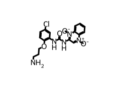 NCCCOc1ccc(Cl)cc1NC(=O)Nc1c[n+]([O-])c2ccccc2[n+]1[O-]